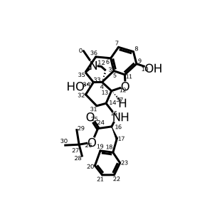 CN1CC[C@]23c4c5ccc(O)c4O[C@H]2C(N[C@@H](Cc2ccccc2)C(=O)OC(C)(C)C)CC[C@@]3(O)C1C5